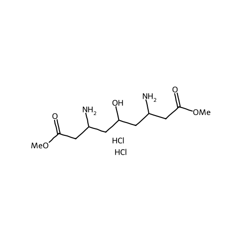 COC(=O)CC(N)CC(O)CC(N)CC(=O)OC.Cl.Cl